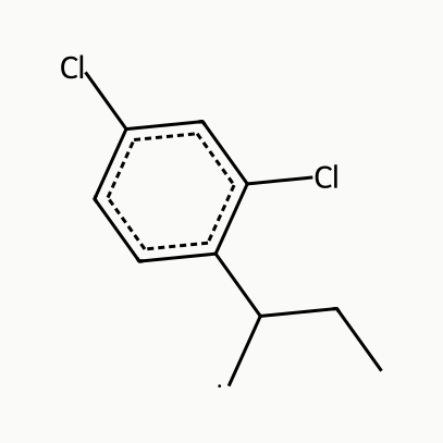 [CH2]C(CC)c1ccc(Cl)cc1Cl